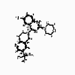 Fc1ccc2nc(N3CCOCC3)nc(N3CCc4ncc(C(F)(F)F)cc4C3)c2c1